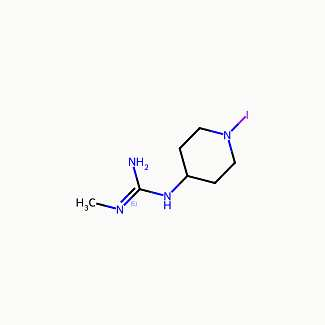 C/N=C(\N)NC1CCN(I)CC1